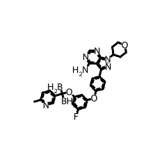 BC(B)(Oc1cc(F)cc(Oc2ccc(-c3nn(C4CCOCC4)c4ncnc(N)c34)cc2)c1)c1ccc(C)nc1